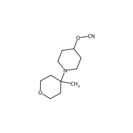 CC1(N2CCC(OC#N)CC2)CCOCC1